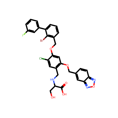 O=C(O)C(CO)NCc1cc(Cl)c(OCc2cccc(-c3cccc(F)c3)c2Br)cc1OCc1ccc2nonc2c1